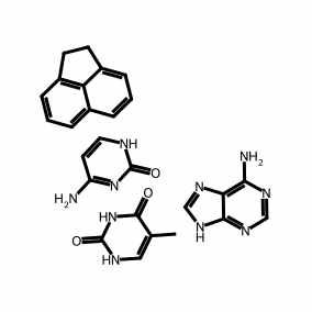 Cc1c[nH]c(=O)[nH]c1=O.Nc1cc[nH]c(=O)n1.Nc1ncnc2[nH]cnc12.c1cc2c3c(cccc3c1)CC2